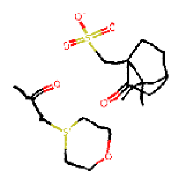 CC(=O)C[S+]1CCOCC1.CC1(C)C2CCC1(CS(=O)(=O)[O-])C(=O)C2